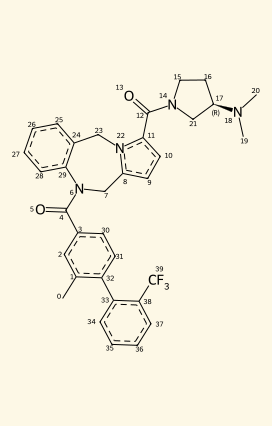 Cc1cc(C(=O)N2Cc3ccc(C(=O)N4CC[C@@H](N(C)C)C4)n3Cc3ccccc32)ccc1-c1ccccc1C(F)(F)F